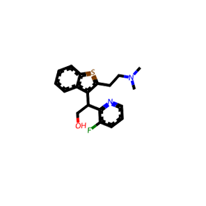 CN(C)CCc1sc2ccccc2c1C(CO)c1ncccc1F